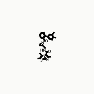 Cc1ccc(-c2ccccc2C(=O)N2CCC2CNC(=O)c2c(C)nc3sc(C)c(C)n23)cc1C